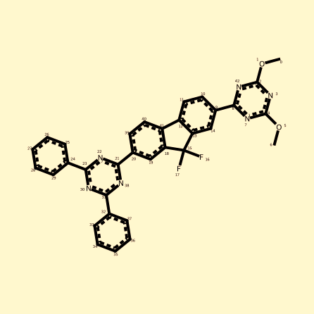 COc1nc(OC)nc(-c2ccc3c(c2)C(F)(F)c2cc(-c4nc(-c5ccccc5)nc(-c5ccccc5)n4)ccc2-3)n1